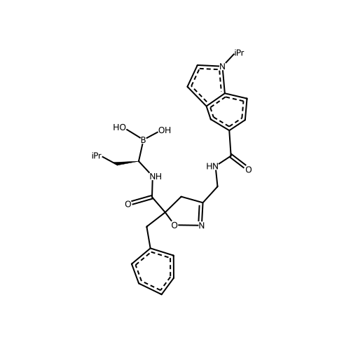 CC(C)C[C@H](NC(=O)C1(Cc2ccccc2)CC(CNC(=O)c2ccc3c(ccn3C(C)C)c2)=NO1)B(O)O